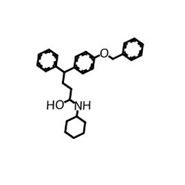 OC(CCC(c1ccccc1)c1ccc(OCc2ccccc2)cc1)NC1CCCCC1